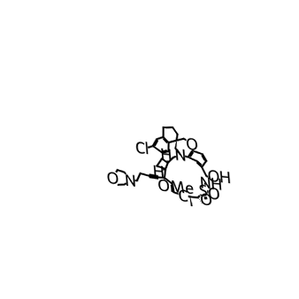 CO[C@]1(C#CCCN2CCOCC2)/C=C/C[C@H](C)[C@@H](C)S(=O)(=O)NC(O)c2ccc3c(c2)N(C[C@@H]2CC[C@H]21)C[C@@]1(CCCc2cc(Cl)ccc21)CO3